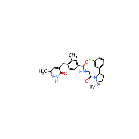 Cc1cc(Cc2ccc(C(=O)NCC(=O)N3C(c4cccc(F)c4)CC[C@@H]3C(C)C)cc2C)c(=O)[nH]n1